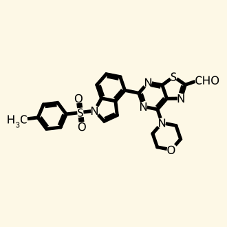 Cc1ccc(S(=O)(=O)n2ccc3c(-c4nc(N5CCOCC5)c5nc(C=O)sc5n4)cccc32)cc1